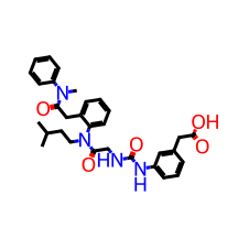 CC(C)CCN(C(=O)CNC(=O)Nc1cccc(CC(=O)O)c1)c1ccccc1CC(=O)N(C)c1ccccc1